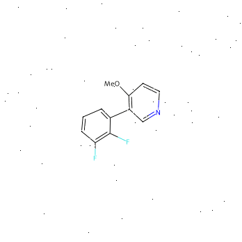 COc1ccncc1-c1cccc(F)c1F